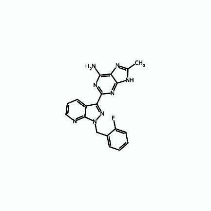 Cc1nc2c(N)nc(-c3nn(Cc4ccccc4F)c4ncccc34)nc2[nH]1